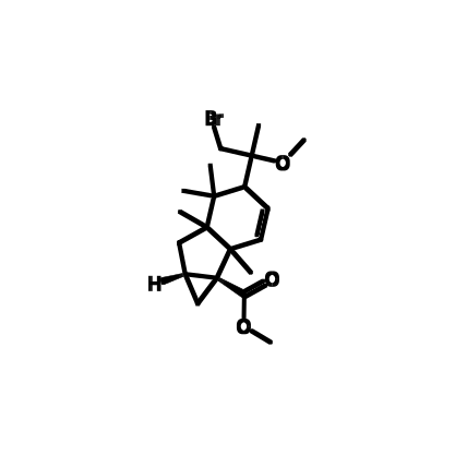 COC(=O)[C@@]12C[C@@H]1CC1(C)C(C)(C)C(C(C)(CBr)OC)C=CC12C